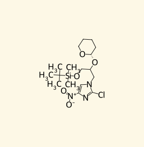 CC(C)(C)[Si](C)(C)OCC(Cn1cc([N+](=O)[O-])nc1Cl)O[C@H]1CCCCO1